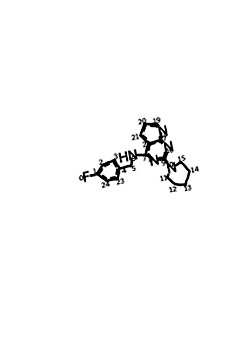 Fc1ccc(CNc2nc(N3CCCCC3)nc3ncccc23)cc1